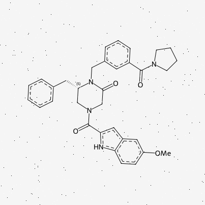 COc1ccc2[nH]c(C(=O)N3CC(=O)N(Cc4cccc(C(=O)N5CCCC5)c4)[C@@H](Cc4ccccc4)C3)cc2c1